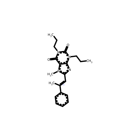 CCCn1c(=O)c2c(nc(/C=C(\C)c3ccccc3)n2C)n(CCC)c1=O